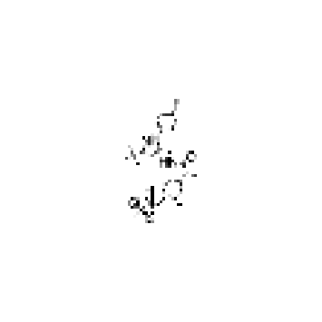 CC(C(=O)NCc1cc(C(C)(C)C)nn1-c1ccc(F)cc1)c1ccc(CNS(C)(=O)=O)c(F)c1